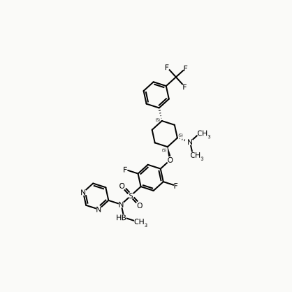 CBN(c1ccncn1)S(=O)(=O)c1cc(F)c(O[C@H]2CC[C@H](c3cccc(C(F)(F)F)c3)C[C@@H]2N(C)C)cc1F